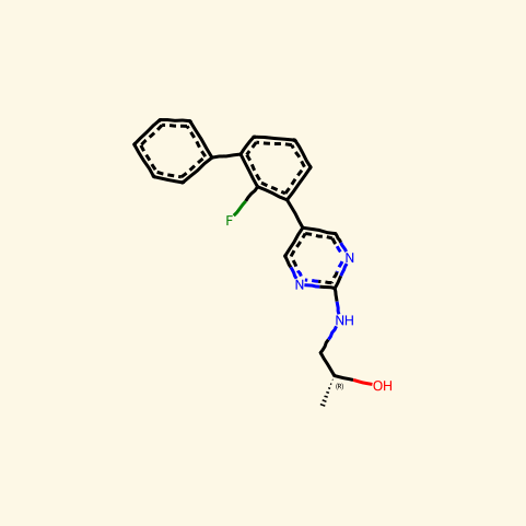 C[C@@H](O)CNc1ncc(-c2cccc(-c3ccccc3)c2F)cn1